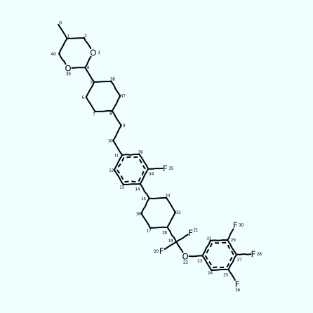 CC1COC(C2CCC(CCc3ccc(C4CCC(C(F)(F)Oc5cc(F)c(F)c(F)c5)CC4)c(F)c3)CC2)OC1